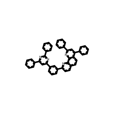 c1ccc(-c2cc(-c3cccc(-c4ccc5ccc6c(-c7ccccc7)cc(-c7ccccc7)nc6c5n4)c3)nc(-c3ccccc3)n2)cc1